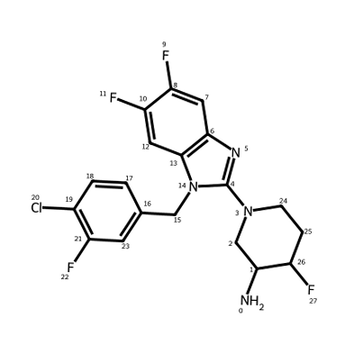 NC1CN(c2nc3cc(F)c(F)cc3n2Cc2ccc(Cl)c(F)c2)CCC1F